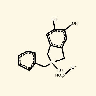 C[N+]1(Cc2ccccc2)Cc2cc(O)c(O)cc2C1.O=S(=O)([O-])O